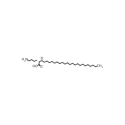 CCCCCCCCCCCCCCCCCCCCCCN[C@@H](CCCCN)C(=O)O